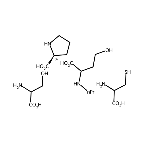 CCCNC(CCO)C(=O)O.NC(CO)C(=O)O.NC(CS)C(=O)O.O=C(O)[C@@H]1CCCN1